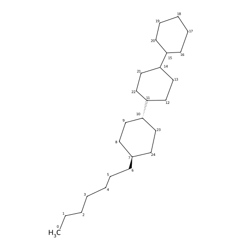 CCCCCCC[C@H]1CC[C@H](C2CCC(C3CCCCC3)CC2)CC1